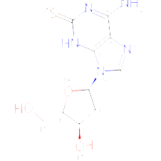 Nc1nc(=S)[nH]c2c1ncn2[C@H]1C[C@@H](O)[C@H](CO)O1